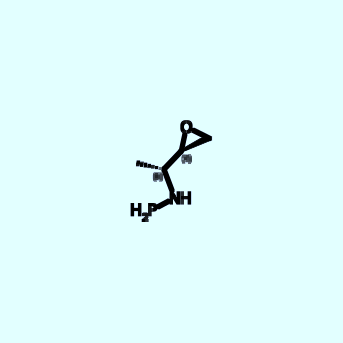 C[C@@H](NP)[C@@H]1CO1